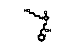 O=C1C[C@H](/C=C/C(O)Cc2ccccn2)N1CCCCCO